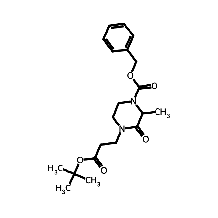 CC1C(=O)N(CCC(=O)OC(C)(C)C)CCN1C(=O)OCc1ccccc1